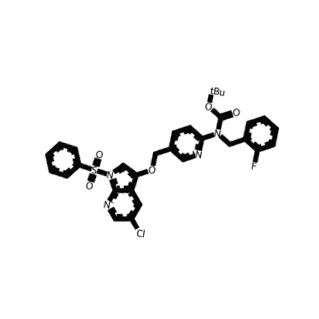 CC(C)(C)OC(=O)N(Cc1ccccc1F)c1ccc(COc2cn(S(=O)(=O)c3ccccc3)c3ncc(Cl)cc23)cn1